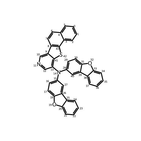 c1ccc2c(c1)ccc1c3cncc(N(c4ccc5oc6ccccc6c5c4)c4ccc5oc6ccccc6c5c4)c3sc21